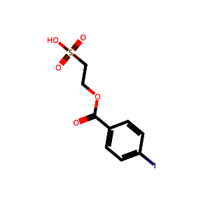 O=C(OCCS(=O)(=O)O)c1ccc(I)cc1